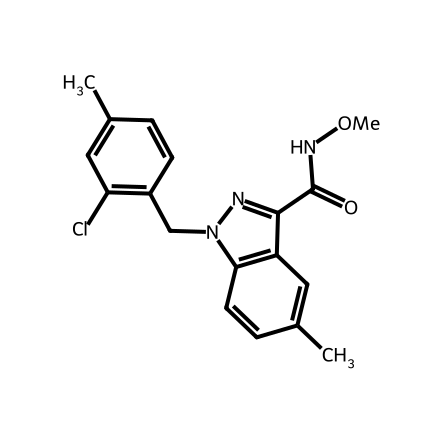 CONC(=O)c1nn(Cc2ccc(C)cc2Cl)c2ccc(C)cc12